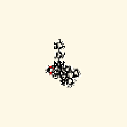 c1ccc(-c2ccc(-c3nc(-c4ccccc4)nc(-c4ccc5c(c4)C4(c6ccccc6-c6ccccc6-5)c5ccccc5-c5c4ccc4c5oc5ccccc54)n3)cc2)cc1